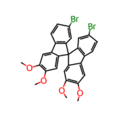 COc1cc2c(cc1OC)C1(c3cc(Br)ccc3-2)c2cc(Br)ccc2-c2cc(OC)c(OC)cc21